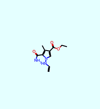 C=CNn1cc(C(=O)OCC)c(C)c1C(N)=O